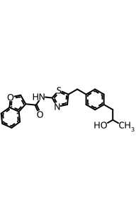 CC(O)Cc1ccc(Cc2cnc(NC(=O)c3coc4ccccc34)s2)cc1